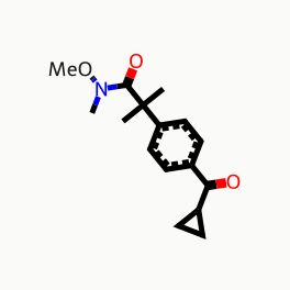 CON(C)C(=O)C(C)(C)c1ccc(C(=O)C2CC2)cc1